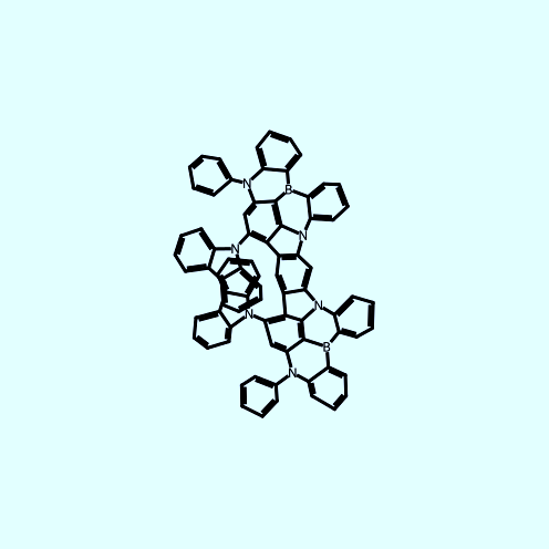 c1ccc(N2c3ccccc3B3c4ccccc4-n4c5cc6c(cc5c5c(-n7c8ccccc8c8ccccc87)cc2c3c54)c2c(-n3c4ccccc4c4ccccc43)cc3c4c2n6-c2ccccc2B4c2ccccc2N3c2ccccc2)cc1